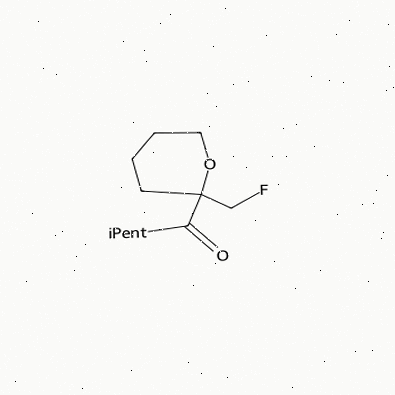 CCCC(C)C(=O)C1(CF)CCCCO1